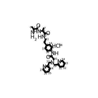 CC(N)C(=O)NC(C)C(=O)NCCc1ccc(NC(=O)CN(Cc2ccccn2)Cc2ccccn2)cc1.Cl